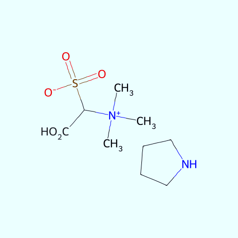 C1CCNC1.C[N+](C)(C)C(C(=O)O)S(=O)(=O)[O-]